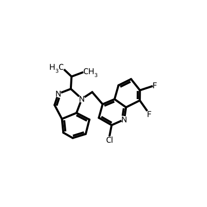 CC(C)C1N=Cc2ccccc2N1Cc1cc(Cl)nc2c(F)c(F)ccc12